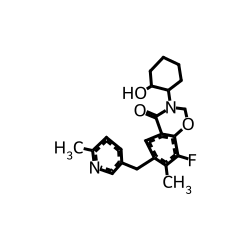 Cc1ccc(Cc2cc3c(c(F)c2C)OCN(C2CCCCC2O)C3=O)cn1